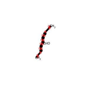 C=CC(=O)OCCCCCCOc1ccc(OC(=O)C2CCC(C(=O)Oc3ccc(OC(=O)C4CCC(C(=O)Oc5ccc(OCCCCOC(=O)C=C)cc5)CC4)c(C=O)c3)CC2)cc1